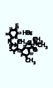 Br.Cc1cc(-c2csc(=Nc3ccc(F)cc3)n2C)cc(S(=O)(=O)N(C)C)c1